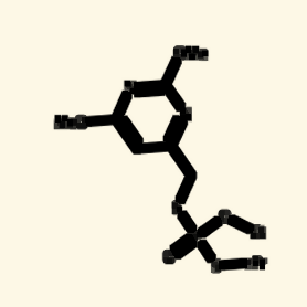 CCCSP(=O)(OCC)SCc1cc(OC)nc(OC)n1